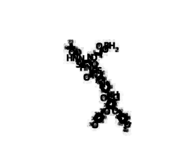 BOC(=O)CCO/N=C(\C(=O)N[C@@H]1C(=O)N2C=C(C[N+]3(C)CCC(NC(=O)c4cc(OCc5ccc(OC)cc5)c(OCc5ccc(OC)cc5)cc4Cl)CC3)CS[C@H]12)c1csc(NC(=O)OC(C)(C)C)n1